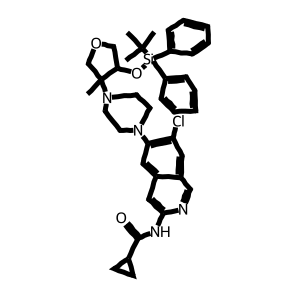 CC1(N2CCN(c3cc4cc(NC(=O)C5CC5)ncc4cc3Cl)CC2)COCC1O[Si](c1ccccc1)(c1ccccc1)C(C)(C)C